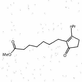 CCCC1=C(CCCCCCC(=O)OC)C(=O)CC1